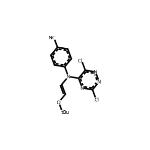 CC(C)(C)OC=CN(c1ccc(C#N)cc1)c1nc(Cl)nnc1Cl